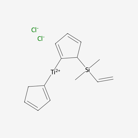 C=C[Si](C)(C)C1C=CC=[C]1[Ti+2][C]1=CC=CC1.[Cl-].[Cl-]